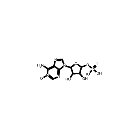 Nc1c2ncn(C3OC(OP(=O)(O)O)C(O)C3O)c2nc[n+]1[O-]